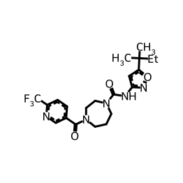 CCC(C)(C)c1cc(NC(=O)N2CCCN(C(=O)c3ccc(C(F)(F)F)nc3)CC2)no1